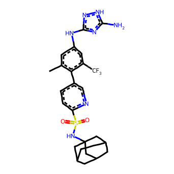 Cc1cc(Nc2n[nH]c(N)n2)cc(C(F)(F)F)c1-c1ccc(S(=O)(=O)NC23CC4CC(CC(C4)C2)C3)nc1